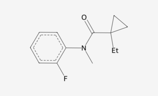 CCC1(C(=O)N(C)c2ccccc2F)CC1